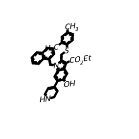 CCOC(=O)c1c(CSc2ccc(C)cc2C)n(Cc2cccc3ccccc23)c2cc(C3=CCNCC3)c(O)cc12